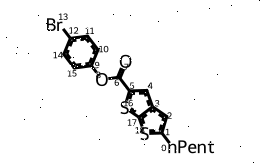 CCCCCc1cc2cc(C(=O)Oc3ccc(Br)cc3)sc2s1